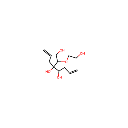 C=CCC(O)C(O)(CC=C)C(CO)OCCO